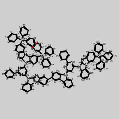 c1ccc(-c2nc(-n3c4ccccc4c4cc(-c5ccc6c(c5)nc5n(-c7cc(-n8c9ccc([Si](c%10ccccc%10)(c%10ccccc%10)c%10ccccc%10)cc9n9c%10cc([Si](c%11ccccc%11)(c%11ccccc%11)c%11ccccc%11)ccc%10nc89)nc(-c8ccccc8)n7)c7ccccc7n65)ccc43)cc(-n3c4ccccc4n4c5cc([Si](c6ccccc6)(c6ccccc6)c6ccccc6)ccc5nc34)n2)cc1